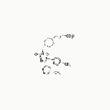 Cc1ccc(-c2nn(C[C@H]3CC[C@H](COCC(=O)O)CC3)c(=O)nc2-c2cccc(C)c2)cc1